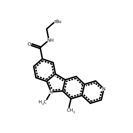 Cc1c2ccncc2cc2c3cc(C(=O)NCC(C)(C)C)ccc3n(C)c12